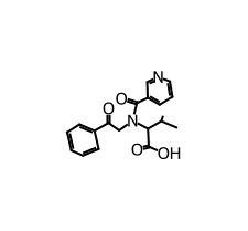 CC(C)C(C(=O)O)N(CC(=O)c1ccccc1)C(=O)c1cccnc1